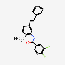 O=C(Nc1cc(C=Cc2ccccc2)ccc1C(=O)O)c1ccc(F)c(F)c1